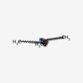 CCCCCCCCCCCCCCCCCCCC(c1nccn1CCCCCCCCCCCCCCCCCC)C(C)(Cc1ccccc1)c1ccccc1